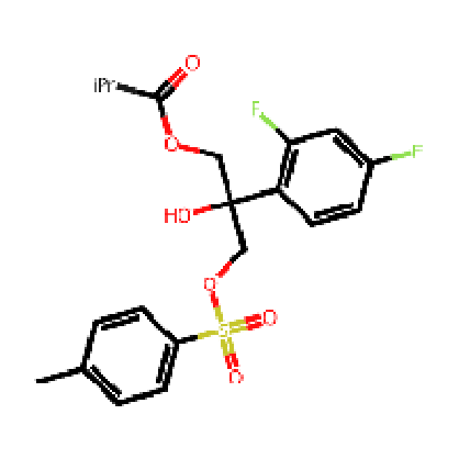 Cc1ccc(S(=O)(=O)OCC(O)(COC(=O)C(C)C)c2ccc(F)cc2F)cc1